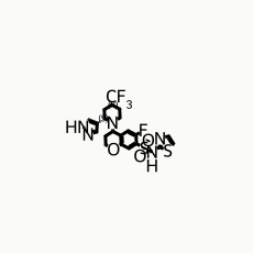 O=S(=O)(Nc1nccs1)c1cc2c(cc1F)C(N1CC[C@@H](C(F)(F)F)C[C@H]1c1cn[nH]c1)CCO2